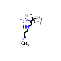 CNCCCNC[C@@H](N)C(C)(C)C